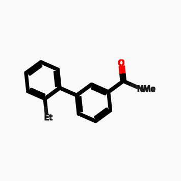 CCc1ccccc1-c1cccc(C(=O)NC)c1